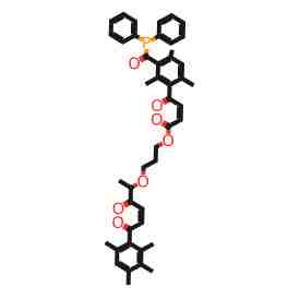 Cc1cc(C)c(C(=O)/C=C\C(=O)C(C)OCCCOC(=O)/C=C\C(=O)c2c(C)cc(C)c(C(=O)P(c3ccccc3)c3ccccc3)c2C)c(C)c1C